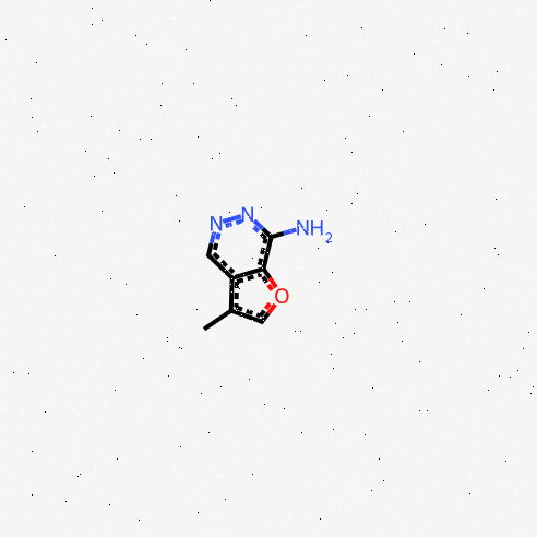 Cc1coc2c(N)nncc12